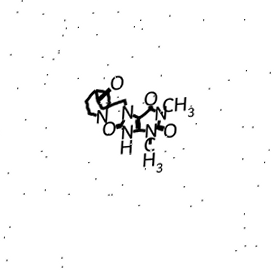 Cn1c(=O)c2c([nH]c(=O)n2CC2C(=O)C3CCN2CC3)n(C)c1=O